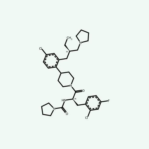 CC[C@H](Cc1cc(Cl)ccc1C1CCN(C(=O)[C@@H](Cc2ccc(F)cc2Cl)NC(=O)N2CCCC2)CC1)CN1CCCC1